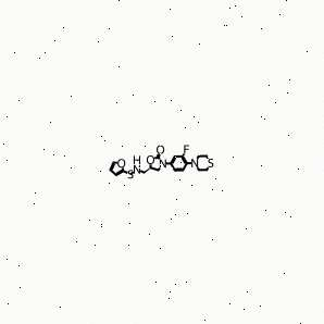 O=C1O[C@H](CNSc2ccco2)CN1c1ccc(N2CCSCC2)c(F)c1